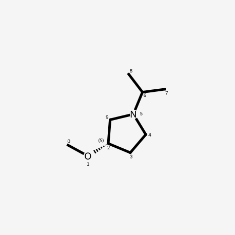 CO[C@H]1CCN(C(C)C)C1